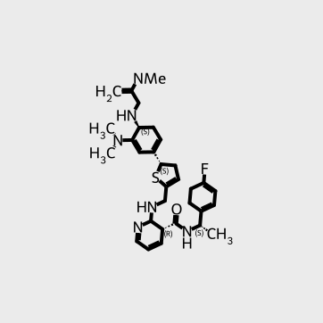 C=C(CN[C@H]1CC=C([C@@H]2CC=C(CNC3N=CC=C[C@H]3C(=O)N[C@@H](C)C3=CC=C(F)CC3)S2)C=C1N(C)C)NC